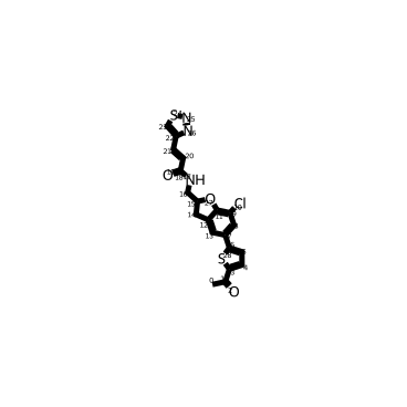 CC(=O)c1ccc(-c2cc(Cl)c3c(c2)CC(CNC(=O)/C=C/c2csnn2)O3)s1